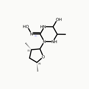 CC1NN(C2O[C@H](C)C[C@@H]2C)/C(=N/O)NC1O